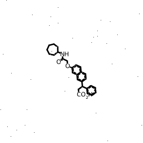 O=C(O)CC(c1ccccc1)c1ccc2ccc(OCC(=O)NC3CCCCCC3)cc2c1